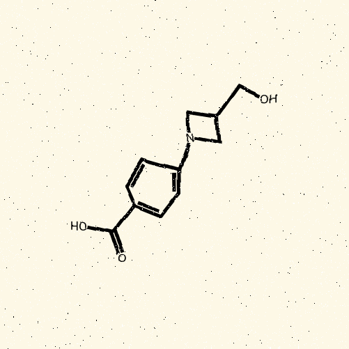 O=C(O)c1ccc(N2CC(CO)C2)cc1